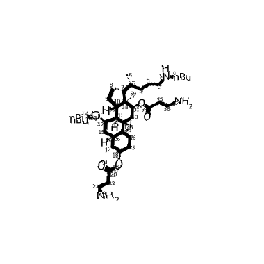 CCCCNCCC[C@@H](C)[C@H]1CC[C@H]2[C@@H]3[C@H](OCCCC)C[C@@H]4C[C@H](OC(=O)CCN)CC[C@]4(C)[C@H]3C[C@H](OC(=O)CCN)[C@]12C